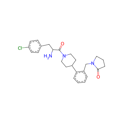 NC(Cc1ccc(Cl)cc1)C(=O)N1CCC(c2ccccc2CN2CCCC2=O)CC1